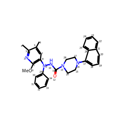 COc1nc(C)c(C)cc1N(NC(=O)N1CCN(c2cccc3ccccc23)CC1)c1ccccc1